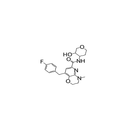 CN1CCOc2c(Cc3ccc(F)cc3)cc(C(=O)NC3CCOCC3O)nc21